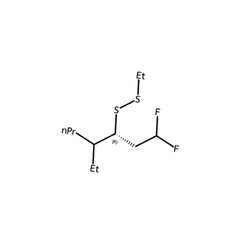 CCCC(CC)[C@@H](CC(F)F)SSCC